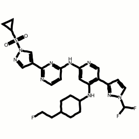 O=S(=O)(C1CC1)n1cc(-c2nccc(Nc3cc(NC4CCC(CCF)CC4)c(-c4ccn(C(F)F)n4)cn3)n2)cn1